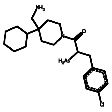 NCC1(C2CCCCC2)CCN(C(=O)C([AsH2])Cc2ccc(Cl)cc2)CC1